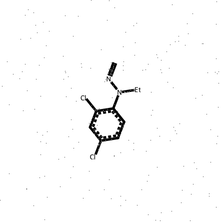 C=NN(CC)c1ccc(Cl)cc1Cl